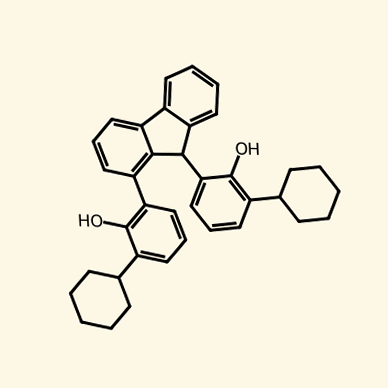 Oc1c(-c2cccc3c2C(c2cccc(C4CCCCC4)c2O)c2ccccc2-3)cccc1C1CCCCC1